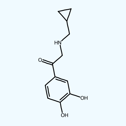 O=C(CNCC1CC1)c1ccc(O)c(O)c1